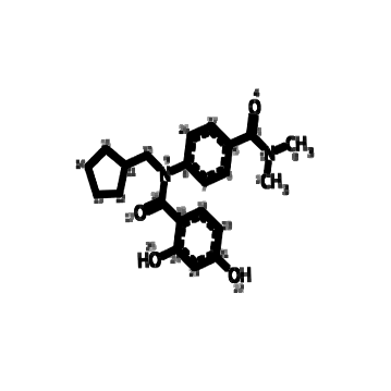 CN(C)C(=O)c1ccc(N(CC2CCCC2)C(=O)c2ccc(O)cc2O)cc1